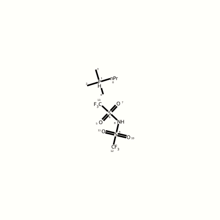 CCC[PH](C)(C)C.O=S(=O)(NS(=O)(=O)C(F)(F)F)C(F)(F)F